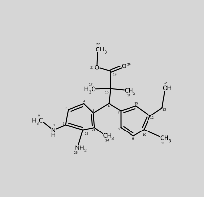 CNc1ccc(C(c2ccc(C)c(CO)c2)C(C)(C)C(=O)OC)c(C)c1N